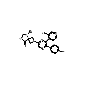 CCN1CNC(=O)C12CN(c1cnc(-c3ccc(C(F)(F)F)cc3)c(-c3ccncc3Cl)n1)C2